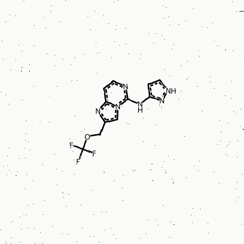 FC(F)(F)OCc1cn2c(Nc3cc[nH]n3)nccc2n1